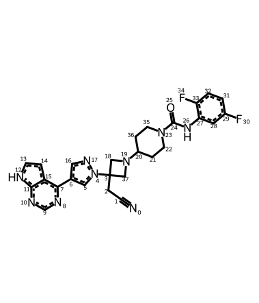 N#CCC1(n2cc(-c3ncnc4[nH]ccc34)cn2)CN(C2CCN(C(=O)Nc3cc(F)ccc3F)CC2)C1